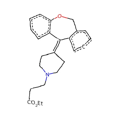 CCOC(=O)CCN1CCC(=C2c3ccccc3COc3ccccc32)CC1